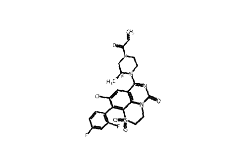 C=CC(=O)N1CCN(c2nc(=O)n3c4c(c(-c5ccc(F)cc5F)c(Cl)cc24)S(=O)(=O)CC3)[C@@H](C)C1